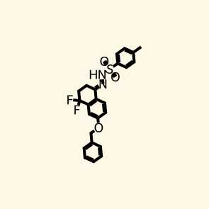 Cc1ccc(S(=O)(=O)N/N=C2\CCC(F)(F)c3cc(OCc4ccccc4)ccc32)cc1